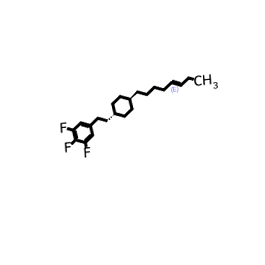 CC/C=C/CCCC[C@H]1CC[C@H](CCc2cc(F)c(F)c(F)c2)CC1